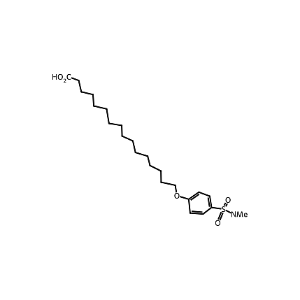 CNS(=O)(=O)c1ccc(OCCCCCCCCCCCCCCCC(=O)O)cc1